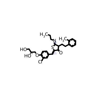 CCC/N=C1\S/C(=C\c2ccc(OC[C@H](O)CO)c(Cl)c2)C(=O)C1CCc1ccccc1C